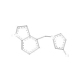 CCCc1ccn(Cc2cccc3[nH]ccc23)c1